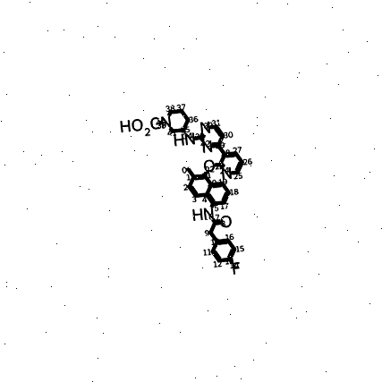 Cc1ccc2c(NC(=O)Cc3ccc(F)cc3)cccc2c1Oc1ncccc1-c1ccnc(N[C@H]2CCCN(C(=O)O)C2)n1